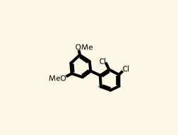 COc1cc(OC)cc(-c2[c]ccc(Cl)c2Cl)c1